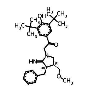 COC[C@H]1CN(CC(=O)c2cc(C(C)(C)C)c(O)c(C(C)(C)C)c2)C(=N)[C@@H]1Cc1ccccc1